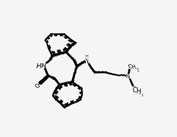 CN(C)CCCNC1c2ccccc2NC(=O)c2ccccc21